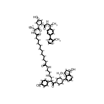 Cc1ncsc1-c1ccc([C@H](C)NC(=O)[C@@H]2C[C@@H](O)CN2C(=O)[C@@H](NC(=O)CCCCCCCCCCC(=O)NCCNC[C@@H](C(=O)N2CCN(c3ncnc4c3[C@H](C)C[C@H]4O)CC2)c2ccc(Cl)cc2)C(C)(C)C)cc1